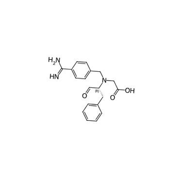 N=C(N)c1ccc(CN(CC(=O)O)[C@@H](C=O)Cc2ccccc2)cc1